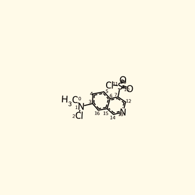 CN(Cl)c1ccc2c(S(=O)(=O)Cl)cncc2c1